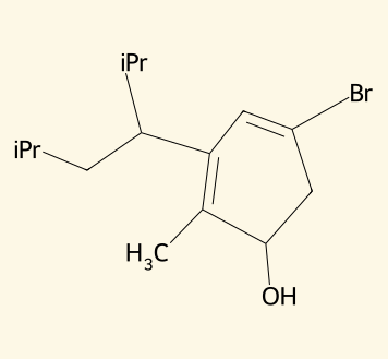 CC1=C(C(CC(C)C)C(C)C)C=C(Br)CC1O